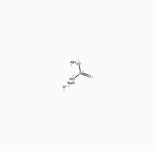 O=[Si]([O-])O.[AlH3].[H+].[NaH]